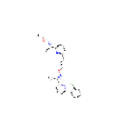 CO/N=C(\C)c1cccc(CCCO/N=C(\C)c2cccc(-c3ccccc3Cl)n2)n1